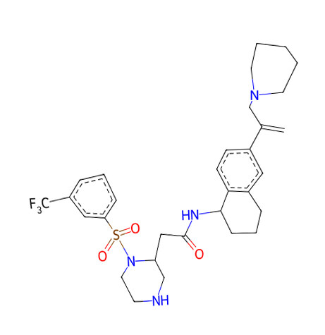 C=C(CN1CCCCC1)c1ccc2c(c1)CCCC2NC(=O)CC1CNCCN1S(=O)(=O)c1cccc(C(F)(F)F)c1